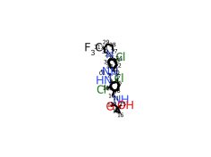 Cn1c(Nc2c(Cl)ccc(CNC(=O)C3(O)CC3)c2Cl)nc2cc(Cl)c(N3CCCC(C(F)(F)F)C3)cc21